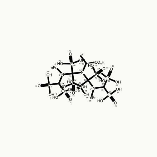 CCCN(C(P(=O)(O)O)P(=O)(O)O)C(N([C@@H](C)C(=O)O)C(N(CCC)C(P(=O)(O)O)P(=O)(O)O)(P(=O)(O)O)P(=O)(O)O)(P(=O)(O)O)P(=O)(O)O